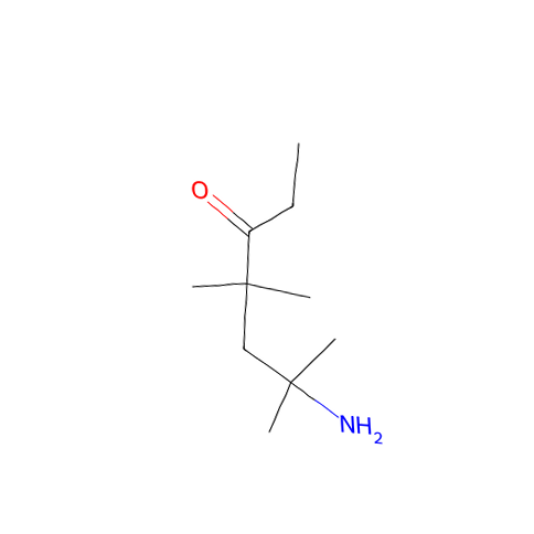 CCC(=O)C(C)(C)CC(C)(C)N